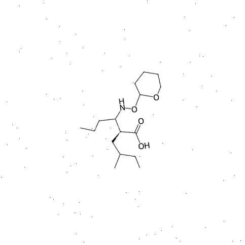 CCCC(NOC1CCCCO1)[C@H](CC(C)CC)C(=O)O